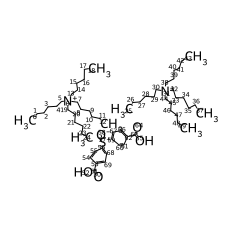 CCCCCC[N+](CCCCCC)(CCCCCC)CCCCCC.CCCCCC[N+](CCCCCC)(CCCCCC)CCCCCC.O=C(O)c1ccc([S+]([O-])c2ccc(C(=O)O)cc2)cc1